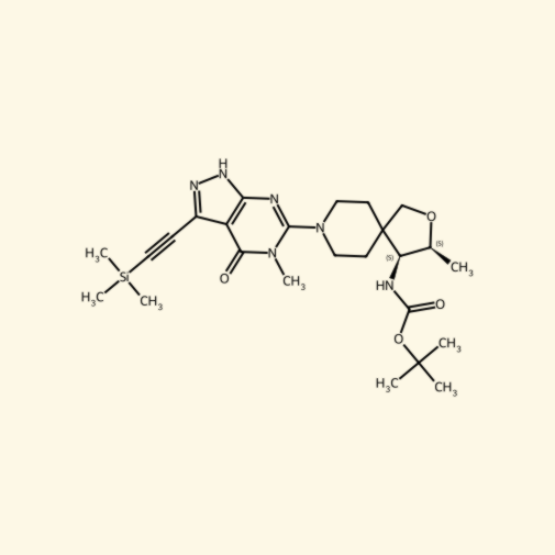 C[C@@H]1OCC2(CCN(c3nc4[nH]nc(C#C[Si](C)(C)C)c4c(=O)n3C)CC2)[C@@H]1NC(=O)OC(C)(C)C